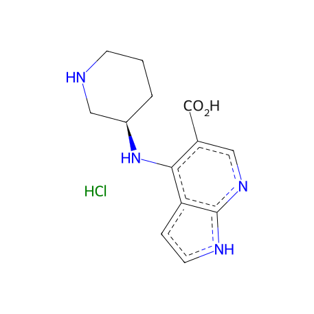 Cl.O=C(O)c1cnc2[nH]ccc2c1N[C@@H]1CCCNC1